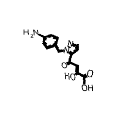 Nc1ccc(Cn2nccc2C(=O)C=C(O)C(=O)O)cc1